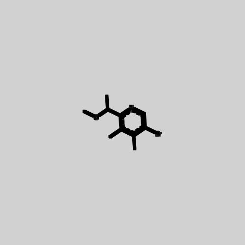 COC(C)c1ncc(Br)c(C)c1C